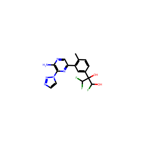 Cc1ccc(C(O)(C(O)F)C(F)F)cc1-c1cnc(N)c(-n2ccnn2)n1